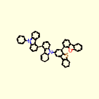 C1=Cc2c(n(-c3cc(-c4cccc5c4oc4ccccc45)c4sc5ccccc5c4c3)c3cccc(-c4cccc5c4c4ccccc4n5-c4ccccc4)c23)CC1